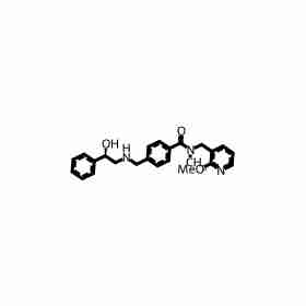 COc1ncccc1CN(C)C(=O)c1ccc(CNC[C@H](O)c2ccccc2)cc1